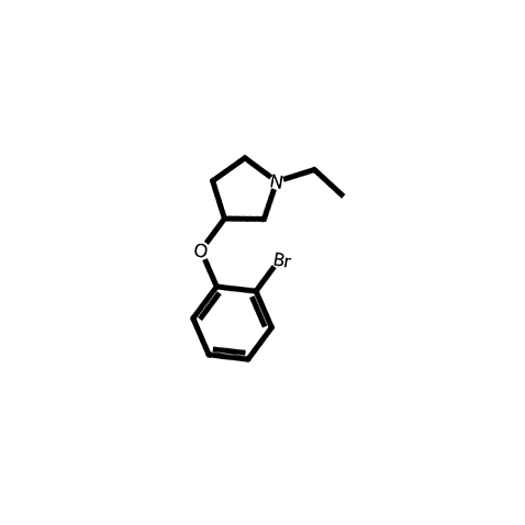 CCN1CCC(Oc2ccccc2Br)C1